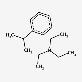 CC(C)c1ccccc1.CCN(CC)CC